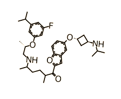 CC(CCC(C)C(=O)c1cc2cc(O[C@H]3C[C@H](NC(C)C)C3)ccc2o1)NC[C@H](C)Oc1cc(F)cc(C(C)C)c1